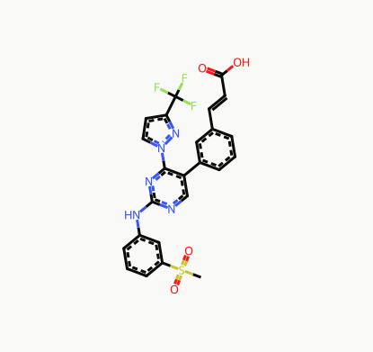 CS(=O)(=O)c1cccc(Nc2ncc(-c3cccc(C=CC(=O)O)c3)c(-n3ccc(C(F)(F)F)n3)n2)c1